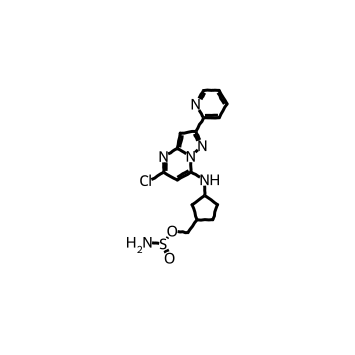 NS(=O)OCC1CCC(Nc2cc(Cl)nc3cc(-c4ccccn4)nn23)C1